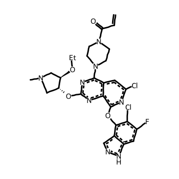 C=CC(=O)N1CCN(c2nc(O[C@@H]3CN(C)C[C@H]3OCC)nc3c(Oc4c(Cl)c(F)cc5[nH]ncc45)nc(Cl)cc23)CC1